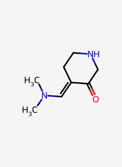 CN(C)C=C1CCNCC1=O